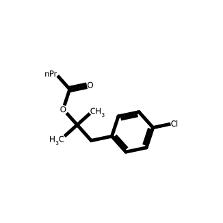 CCCC(=O)OC(C)(C)Cc1ccc(Cl)cc1